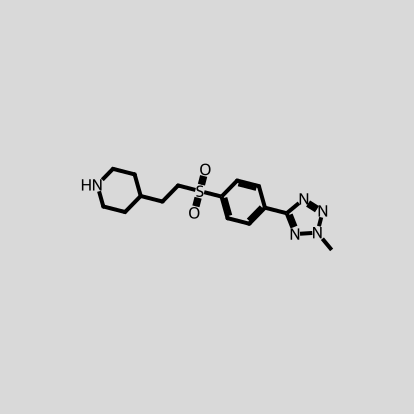 Cn1nnc(-c2ccc(S(=O)(=O)CCC3CCNCC3)cc2)n1